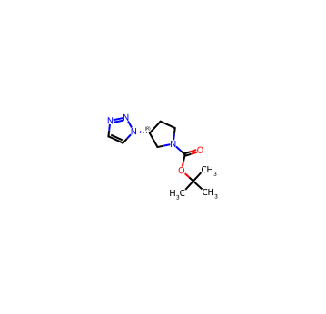 CC(C)(C)OC(=O)N1CC[C@@H](n2ccnn2)C1